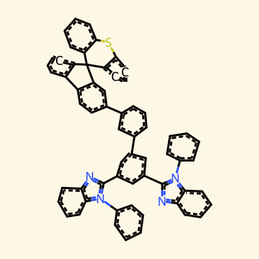 c1ccc(-n2c(-c3cc(-c4cccc(-c5ccc6c(c5)C5(c7ccccc7Sc7ccccc75)c5ccccc5-6)c4)cc(-c4nc5ccccc5n4-c4ccccc4)c3)nc3ccccc32)cc1